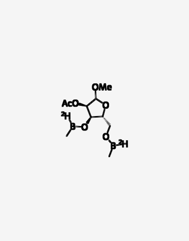 [2H]B(C)OC[C@H]1OC(OC)[C@H](OC(C)=O)[C@@H]1OB([2H])C